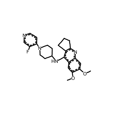 COc1cc2nc3c(c(NC4CCN(c5ccncc5F)CC4)c2cc1OC)CCC3